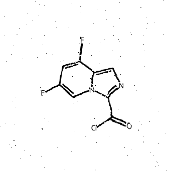 O=C(Cl)c1ncc2c(F)cc(F)cn12